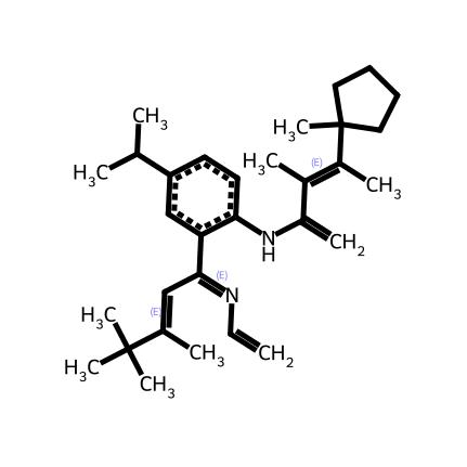 C=C/N=C(\C=C(/C)C(C)(C)C)c1cc(C(C)C)ccc1NC(=C)/C(C)=C(\C)C1(C)CCCC1